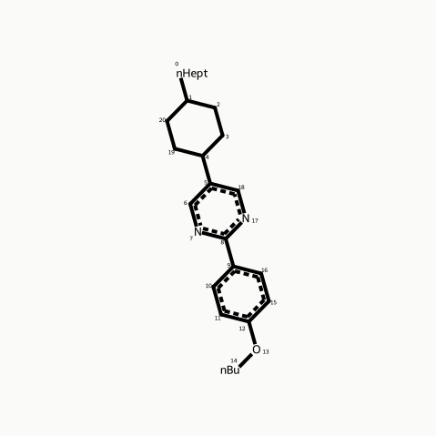 CCCCCCCC1CCC(c2cnc(-c3ccc(OCCCC)cc3)nc2)CC1